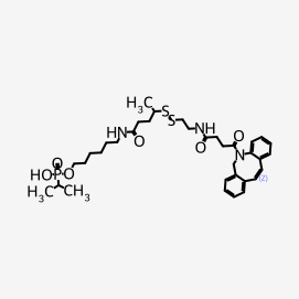 CC(CCC(=O)NCCCCCCOP(=O)(O)C(C)C)SSCCNC(=O)CCC(=O)N1Cc2ccccc2/C=C\c2ccccc21